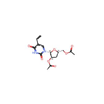 C=Cc1cn([C@@H]2O[C@H](COC(C)=O)C[C@H]2OC(C)=O)c(=O)[nH]c1=O